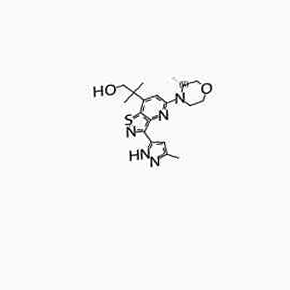 Cc1cc(-c2nsc3c(C(C)(C)CO)cc(N4CCOC[C@H]4C)nc23)[nH]n1